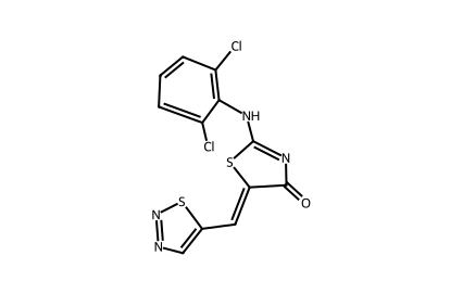 O=C1N=C(Nc2c(Cl)cccc2Cl)SC1=Cc1cnns1